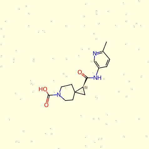 Cc1ccc(NC(=O)[C@H]2CC23CCN(C(=O)O)CC3)cn1